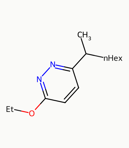 CCCCCCC(C)c1ccc(OCC)nn1